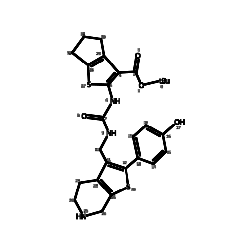 CC(C)(C)OC(=O)c1c(NC(=O)NCc2c(-c3ccc(O)cc3)sc3c2CCNC3)sc2c1CCC2